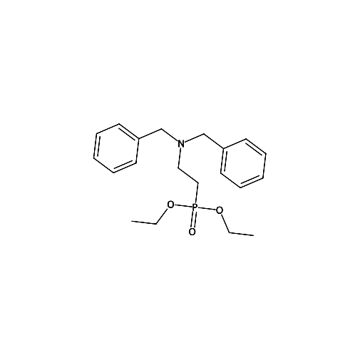 CCOP(=O)(CCN(Cc1ccccc1)Cc1ccccc1)OCC